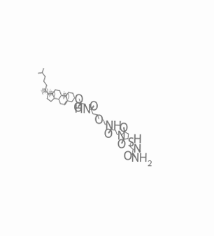 CNC(CSC1CC(=O)N(CCC(=O)NCCOCCC(=O)NCC(=O)OC2CC[C@@]3(C)C(=CCC4C5CCC([C@H](C)CCCC(C)C)[C@@]5(C)CCC43)C2)C1=O)C(N)=O